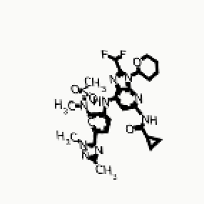 Cc1nc(-c2ccc(Nc3cc(NC(=O)C4CC4)nc4c3nc(C(F)F)n4C3CCCCO3)c(N(C)S(C)(=O)=O)c2)n(C)n1